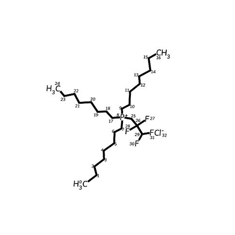 CCCCCCCC[P+](CCCCCCCC)(CCCCCCCC)CC(F)(F)C(F)F.[Cl-]